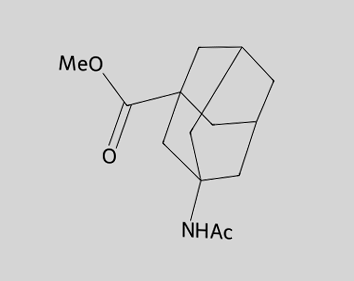 COC(=O)C12CC3CC(CC(NC(C)=O)(C3)C1)C2